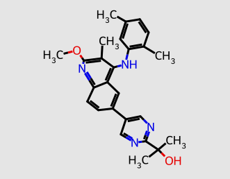 COc1nc2ccc(-c3cnc(C(C)(C)O)nc3)cc2c(Nc2cc(C)ccc2C)c1C